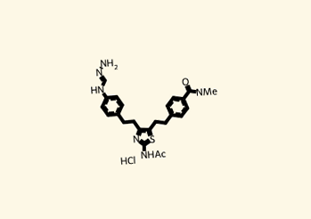 CNC(=O)c1ccc(CCc2sc(NC(C)=O)nc2CCc2ccc(NC=NN)cc2)cc1.Cl